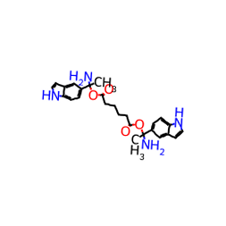 CC(N)(OC(=O)CCCCC(=O)OC(C)(N)c1ccc2[nH]ccc2c1)c1ccc2[nH]ccc2c1